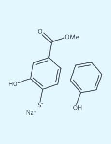 COC(=O)c1ccc([S-])c(O)c1.Oc1ccccc1.[Na+]